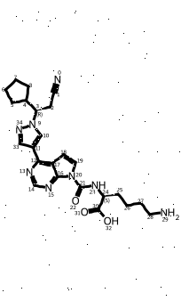 N#CC[C@H](C1CCCC1)n1cc(-c2ncnc3c2ccn3C(=O)N[C@@H](CCCCN)C(=O)O)cn1